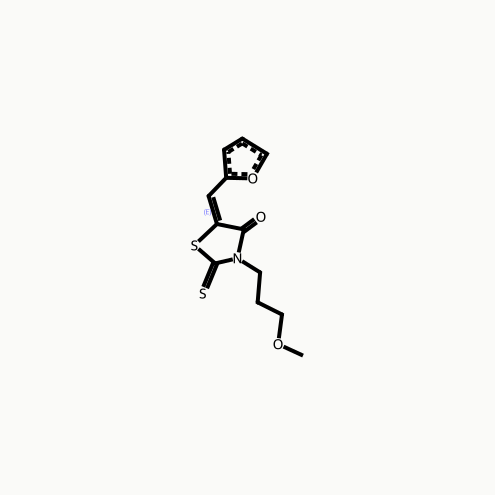 COCCCN1C(=O)/C(=C\c2ccco2)SC1=S